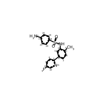 Cc1ccc(-c2ccc(F)cn2)cc1NS(=O)(=O)c1ccc(N)cc1